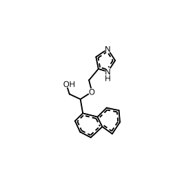 OCC(OCc1cnc[nH]1)c1cccc2ccccc12